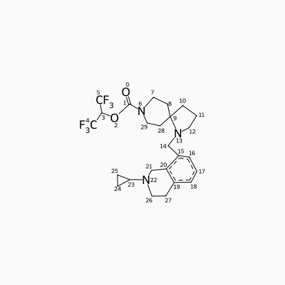 O=C(OC(C(F)(F)F)C(F)(F)F)N1CCC2(CCCN2Cc2cccc3c2CN(C2CC2)CC3)CC1